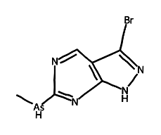 C[AsH]c1ncc2c(Br)n[nH]c2n1